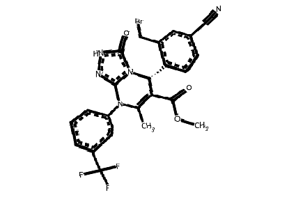 COC(=O)C1=C(C)N(c2cccc(C(F)(F)F)c2)c2n[nH]c(=O)n2[C@@H]1c1ccc(C#N)cc1CBr